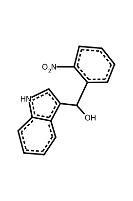 O=[N+]([O-])c1ccccc1C(O)c1c[nH]c2ccccc12